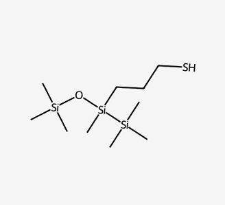 C[Si](C)(C)O[Si](C)(CCCS)[Si](C)(C)C